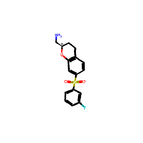 NC[C@H]1CCc2ccc(S(=O)(=O)c3cccc(F)c3)cc2O1